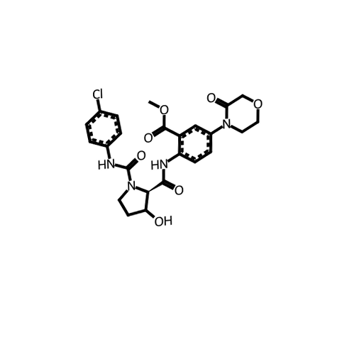 COC(=O)c1cc(N2CCOCC2=O)ccc1NC(=O)[C@H]1C(O)CCN1C(=O)Nc1ccc(Cl)cc1